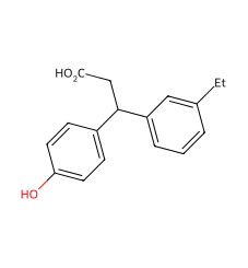 CCc1cccc(C(CC(=O)O)c2ccc(O)cc2)c1